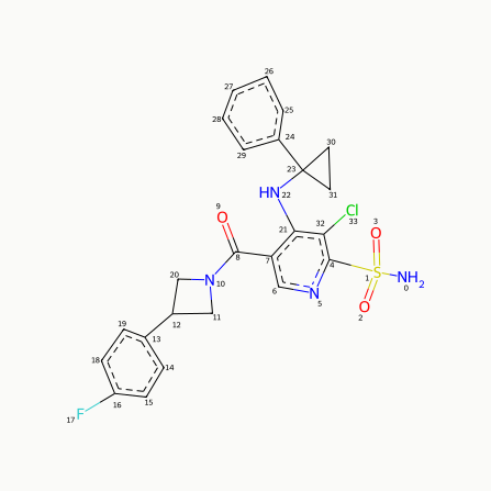 NS(=O)(=O)c1ncc(C(=O)N2CC(c3ccc(F)cc3)C2)c(NC2(c3ccccc3)CC2)c1Cl